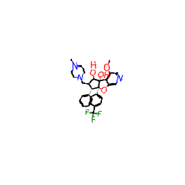 COc1cncc2c1[C@]1(O)[C@H](O)C(CN3CCN(C)CC3)[C@@H](c3ccccc3)[C@]1(c1ccc(C(F)(F)F)cc1)O2